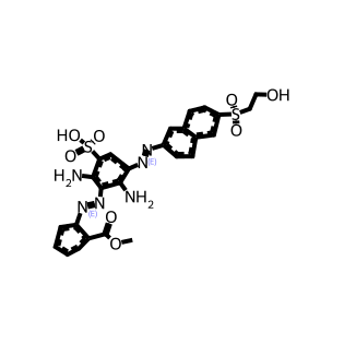 COC(=O)c1ccccc1/N=N/c1c(N)c(/N=N/c2ccc3cc(S(=O)(=O)CCO)ccc3c2)cc(S(=O)(=O)O)c1N